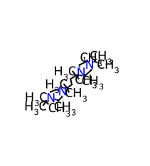 CC(C)N1C[C@H](C)N(C(C)(C)CCC(C)(C)N2CCN(C(C)(C)C)[C@H](C)C2)C[C@H]1C